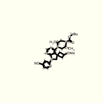 COC1CC2(C1)CN(c1cc(C#N)ccn1)c1ncnc(N3C[C@@H](C)N(C(=O)OC(C)(C)C)C[C@@H]3C)c12